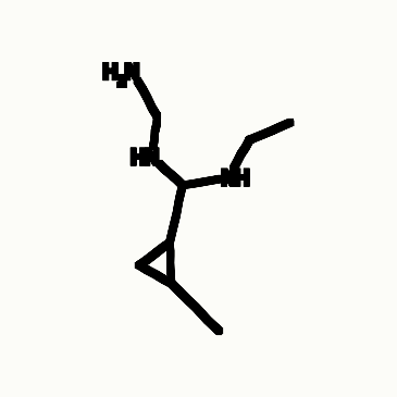 CCNC(NCN)C1CC1C